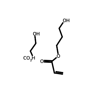 C=CC(=O)OCCCO.O=C(O)CCO